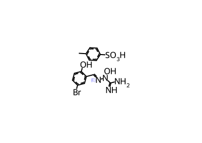 Cc1ccc(S(=O)(=O)O)cc1.N=C(N)N(O)/N=C/c1cc(Br)ccc1O